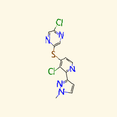 Cn1ccc(-c2nccc(Sc3cnc(Cl)cn3)c2Cl)n1